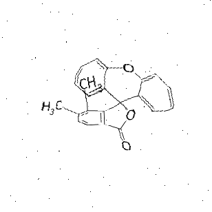 Cc1ccc2c(c1C)C1(OC2=O)c2ccccc2Oc2ccccc21